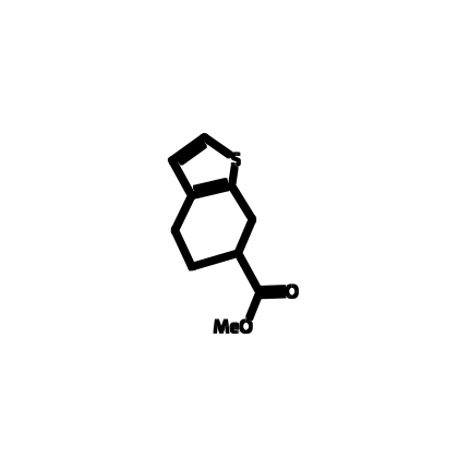 COC(=O)C1CCc2ccsc2C1